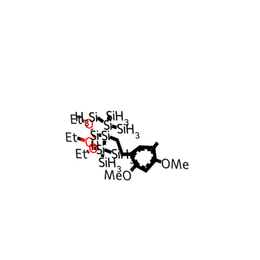 CCO[SiH](OCC)[Si](CCc1cc(C)c(OC)cc1OC)([Si]([SiH3])([SiH3])[SiH3])[Si]([SiH3])([SiH3])OCC